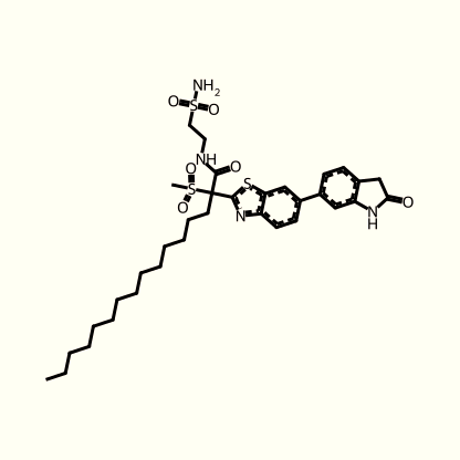 CCCCCCCCCCCCCCC(C(=O)NCCS(N)(=O)=O)(c1nc2ccc(-c3ccc4c(c3)NC(=O)C4)cc2s1)S(C)(=O)=O